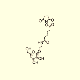 O=C(CCCCC(=O)ON1C(=O)CCC1=O)NCCO[C@@H]1O[C@H](CO)C[C@H](O)[C@@H]1O